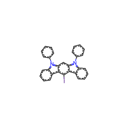 Ic1c2c3ccccc3n(-c3ccccc3)c2cc2c1c1ccccc1n2-c1ccccc1